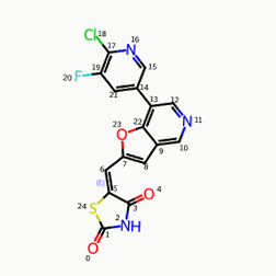 O=C1NC(=O)/C(=C\c2cc3cncc(-c4cnc(Cl)c(F)c4)c3o2)S1